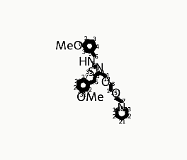 COc1cccc(CNc2nc(COCCOCCN3CCCCC3)c(Cc3cccc(OC)c3)s2)c1